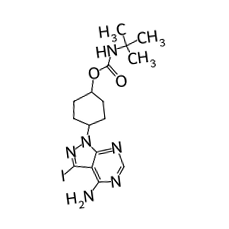 CC(C)(C)NC(=O)OC1CCC(n2nc(I)c3c(N)ncnc32)CC1